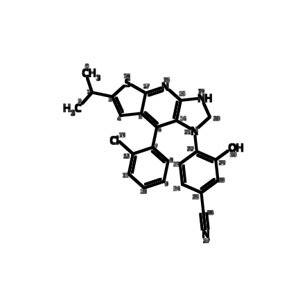 CC(C)c1cc2c(-c3ccccc3Cl)c3c(nc2s1)NCN3c1ccc(C#N)cc1O